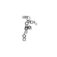 Cl.Cn1c2c(c3ccc(-n4ccc(OCc5ccc(Cl)cc5)cc4=O)cc31)CNCCC2